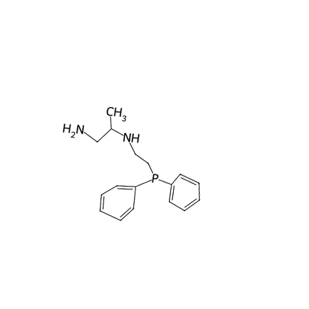 CC(CN)NCCP(c1ccccc1)c1ccccc1